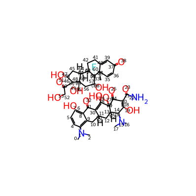 CN(C)c1ccc(O)c2c1C[C@H]1C[C@H]3[C@H](N(C)C)C(O)=C(C(N)=O)C(=O)[C@@]3(O)C(O)=C1C2=O.C[C@]12C=CC(=O)C=C1CC[C@H]1[C@@H]3C[C@@H](O)[C@](O)(C(=O)CO)[C@@]3(C)C[C@H](O)[C@@]12F